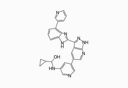 OC(Nc1cncc(-c2cnc3[nH]nc(-c4nc5c(-c6cccnc6)cccc5[nH]4)c3c2)c1)C1CC1